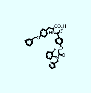 O=C(NC(Cc1ccc(OCc2ccccc2)cc1)C(=O)O)c1ccc(OCC(=O)N(Cc2cccs2)c2ccccc2F)cc1